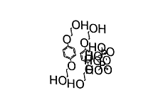 O=P(O)(O)OP(=O)(O)O.OCCOc1ccc(OCCO)cc1.OCCOc1ccc(OCCO)cc1